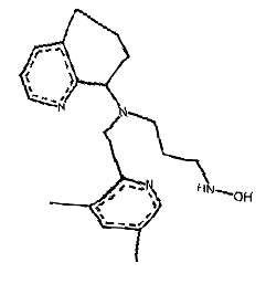 Cc1cnc(CN(CCCNO)C2CCCc3cccnc32)c(C)c1